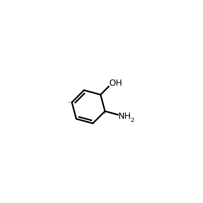 N[C]1C=C[C]=CC1O